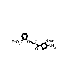 CCOC(=O)c1ccccc1OCCNC(=O)c1ccc(N)c(NC)c1